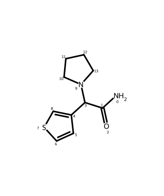 NC(=O)C(c1ccsc1)N1CCCC1